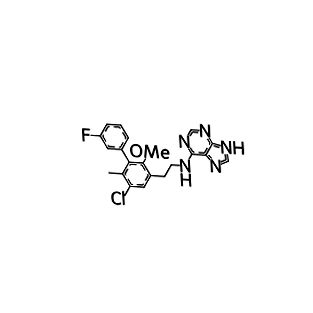 COc1c(CCNc2ncnc3[nH]cnc23)cc(Cl)c(C)c1-c1cccc(F)c1